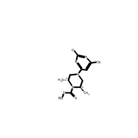 C[C@@H]1CN(c2cc(C#N)nc(Cl)n2)C[C@@H](C)N1C(=O)OC(C)(C)C